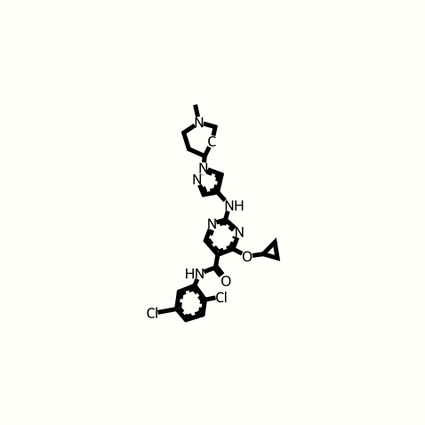 CN1CCC(n2cc(Nc3ncc(C(=O)Nc4cc(Cl)ccc4Cl)c(OC4CC4)n3)cn2)CC1